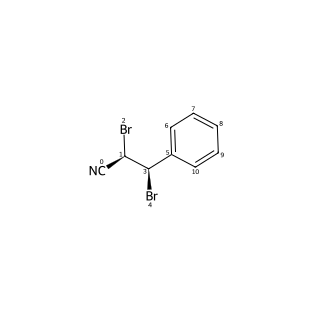 N#C[C@@H](Br)[C@H](Br)c1ccccc1